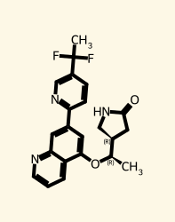 C[C@@H](Oc1cc(-c2ccc(C(C)(F)F)cn2)cc2ncccc12)[C@H]1CNC(=O)C1